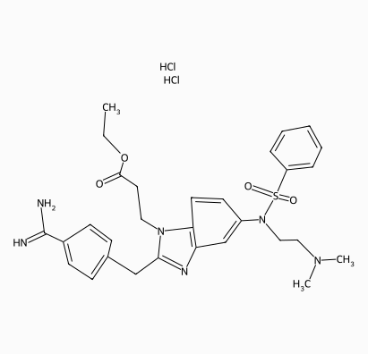 CCOC(=O)CCn1c(Cc2ccc(C(=N)N)cc2)nc2cc(N(CCN(C)C)S(=O)(=O)c3ccccc3)ccc21.Cl.Cl